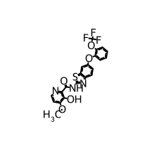 COc1ccnc(C(=O)Nc2nc3ccc(Oc4ccccc4OC(F)(F)F)cc3s2)c1O